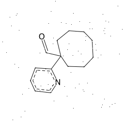 O=CC1(c2ccccn2)CCCCCCC1